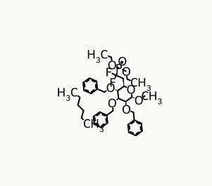 CCCCCC.CCOP(=O)(OCC)C(F)(F)C[C@H]1O[C@H](OC)[C@@H](OCc2ccccc2)[C@@H](OCc2ccccc2)[C@@H]1OCc1ccccc1